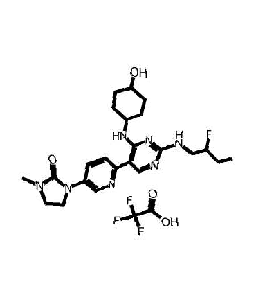 CCC(F)CNc1ncc(-c2ccc(N3CCN(C)C3=O)cn2)c(NC2CCC(O)CC2)n1.O=C(O)C(F)(F)F